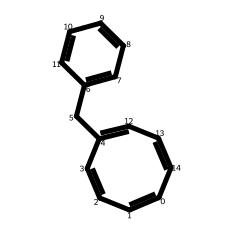 C1=CC=CC(Cc2ccccc2)=CC=C1